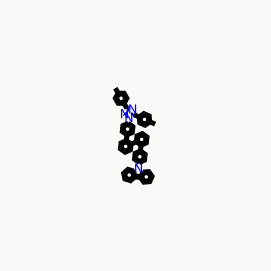 Cc1ccc(-c2nc(-c3ccc(C)cc3)n(-c3ccc(-c4ccccc4-c4ccccc4-c4ccc(-n5c6ccccc6c6ccccc65)cc4)cc3)n2)cc1